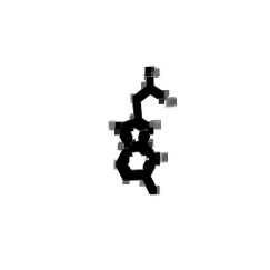 Cc1ccn2nc(CC(F)F)nc2n1